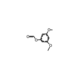 COc1cc(OC)cc(OC=O)c1